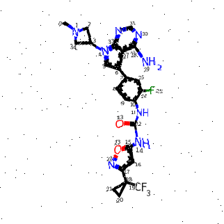 CN1CC(n2cc(-c3ccc(NC(=O)Nc4cc(C5(C(F)(F)F)CC5)no4)c(F)c3)c3c(N)ncnc32)C1